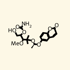 COC(C(CO)OC(N)=O)C(C)(C)O[C@H](C)Oc1ccc2oc(=O)ccc2c1